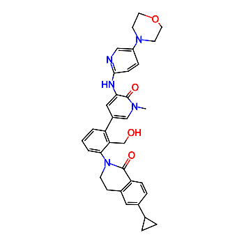 Cn1cc(-c2cccc(N3CCc4cc(C5CC5)ccc4C3=O)c2CO)cc(Nc2ccc(N3CCOCC3)cn2)c1=O